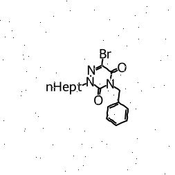 CCCCCCCn1nc(Br)c(=O)n(Cc2ccccc2)c1=O